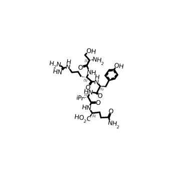 CC(C)[C@H](NC(=O)[C@H](Cc1ccc(O)cc1)NC(=O)[C@H](CCCNC(=N)N)NC(=O)[C@@H](N)CO)C(=O)N[C@@H](CCC(N)=O)C(=O)O